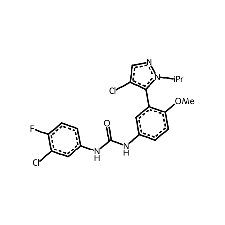 COc1ccc(NC(=O)Nc2ccc(F)c(Cl)c2)cc1-c1c(Cl)cnn1C(C)C